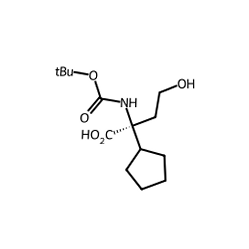 CC(C)(C)OC(=O)N[C@](CCO)(C(=O)O)C1CCCC1